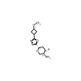 N[C@H]1CO[C@H](c2nnc(C3CC(OC(F)(F)F)C3)o2)C[C@@H]1F